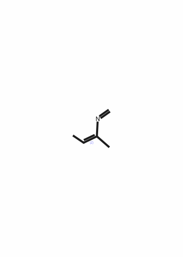 C=N/C(C)=C\C